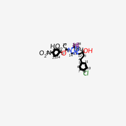 CC(C)(C)C(O)(CCc1ccc(Cl)cc1)CN1CN(C(Oc2ccc([N+](=O)[O-])cc2)C(=O)O)C=N1.I